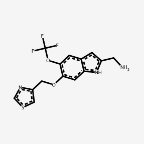 NCc1cc2cc(OC(F)(F)F)c(OCc3cscn3)cc2[nH]1